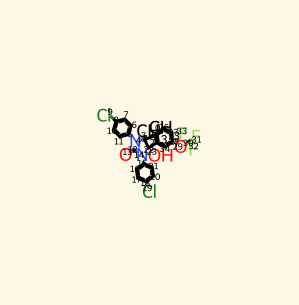 CCC1(C)N(c2ccc(Cl)cc2)C(=O)N(c2ccc(Cl)cc2)C1(O)c1cccc(OC(F)(F)F)c1